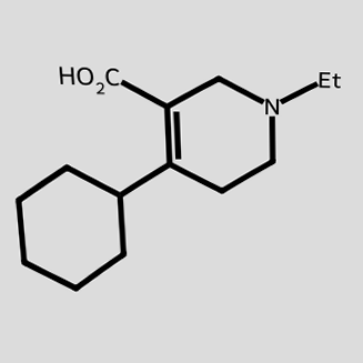 CCN1CCC(C2CCCCC2)=C(C(=O)O)C1